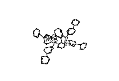 COc1cccc(P(=O)(c2ccc(-c3ccccc3)cc2)c2ccc(-c3ccccc3)cc2)c1-c1c(OC)cccc1P(=O)(c1ccc(-c2ccccc2)cc1)c1ccc(-c2ccccc2)cc1